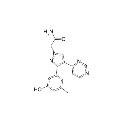 Cc1cc(O)cc(-c2nn(CC(N)=O)cc2-c2ccncn2)c1